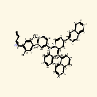 C=C/C=C\c1cc2oc3ccc(-c4c5ccccc5c(-c5cccc6ccccc56)c5cc(-c6ccc7ccccc7c6)ccc45)cc3c2cc1C